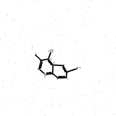 Cc1cnc2ccc(F)cc2c1Cl